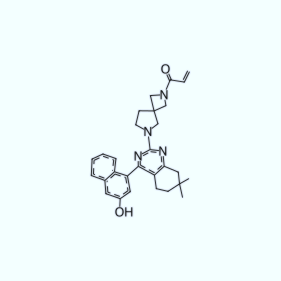 C=CC(=O)N1CC2(CCN(c3nc4c(c(-c5cc(O)cc6ccccc56)n3)CCC(C)(C)C4)C2)C1